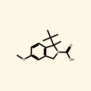 COc1ccc2c(c1)CN(C(=O)O)C2(C)C(C)(C)C